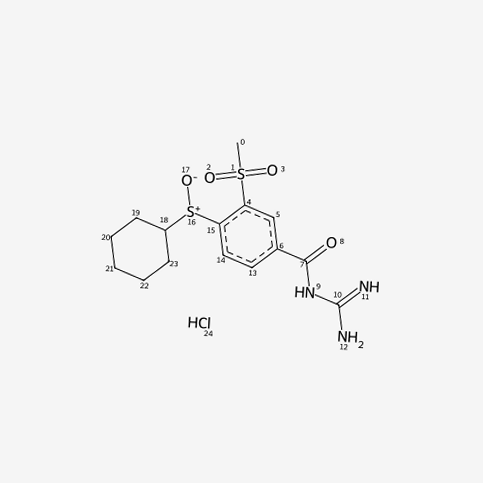 CS(=O)(=O)c1cc(C(=O)NC(=N)N)ccc1[S+]([O-])C1CCCCC1.Cl